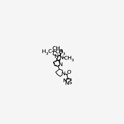 Cn1c(=O)n(CC(C)(C)C)c2ccc(C3CCCN(C(=O)c4csnn4)C3)nc21